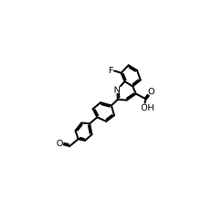 O=Cc1ccc(-c2ccc(-c3cc(C(=O)O)c4cccc(F)c4n3)cc2)cc1